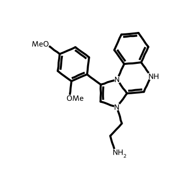 COc1ccc(C2=CN(CCN)C3=CNc4ccccc4N23)c(OC)c1